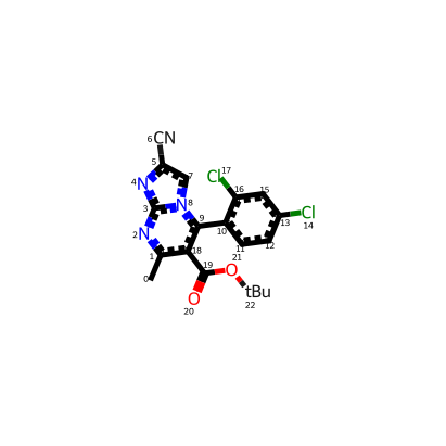 Cc1nc2nc(C#N)cn2c(-c2ccc(Cl)cc2Cl)c1C(=O)OC(C)(C)C